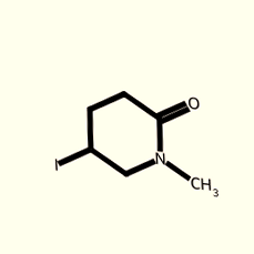 CN1CC(I)CCC1=O